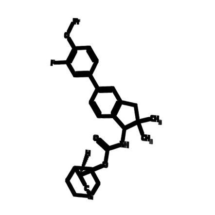 CC(C)Oc1ccc(-c2ccc3c(c2)CC(C)(C)C3NC(=O)O[C@H]2CN3CCC2CC3)cc1F